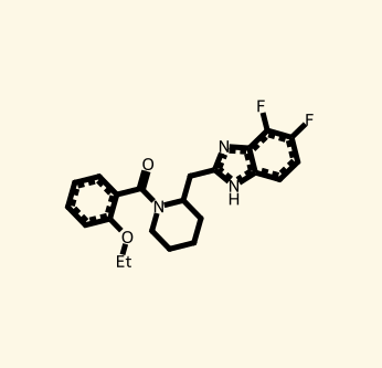 CCOc1ccccc1C(=O)N1CCCCC1Cc1nc2c(F)c(F)ccc2[nH]1